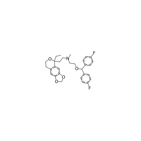 CCC1(CCN(C)CCOC(c2ccc(F)cc2)c2ccc(F)cc2)OCCc2cc3c(cc21)OCO3